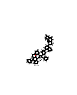 c1ccc(-c2sc(-c3c4ccccc4c(-c4ccccc4)c4ccccc34)c(-c3ccccc3)c2-c2ccc(-c3ccc(-c4ccc5ccc6cccnc6c5n4)c4ccccc34)cc2)cc1